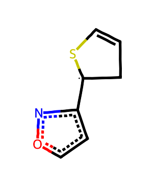 C1=CS[C](c2ccon2)C1